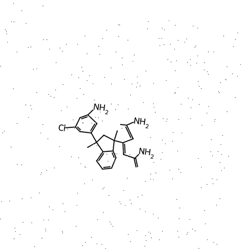 C=C(N)/C=C(\C=C(/C)N)C1(C)CC(C)(c2cc(N)cc(Cl)c2)c2ccccc21